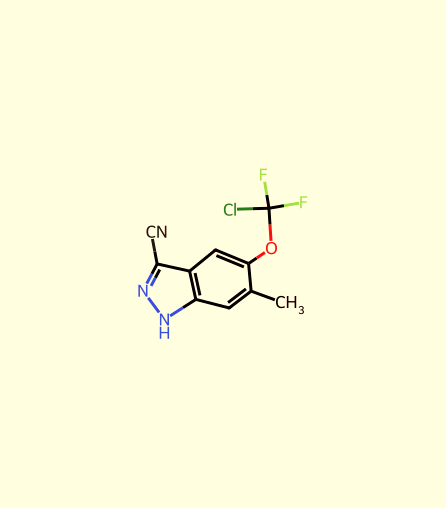 Cc1cc2[nH]nc(C#N)c2cc1OC(F)(F)Cl